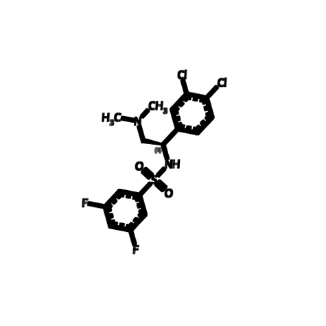 CN(C)C[C@H](NS(=O)(=O)c1cc(F)cc(F)c1)c1ccc(Cl)c(Cl)c1